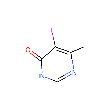 Cc1nc[nH]c(=O)c1I